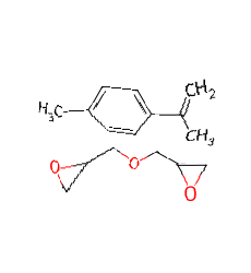 C(OCC1CO1)C1CO1.C=C(C)c1ccc(C)cc1